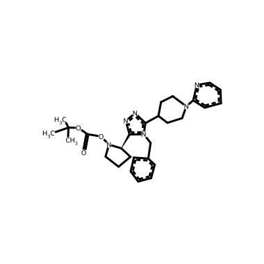 CC(C)(C)OC(=O)ON1CCC[C@@H]1c1nnc(C2CCN(c3ccccn3)CC2)n1Cc1ccccc1